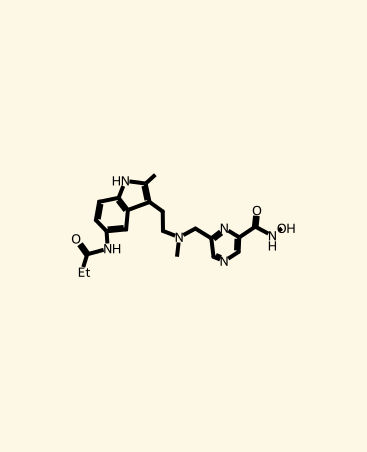 CCC(=O)Nc1ccc2[nH]c(C)c(CCN(C)Cc3cncc(C(=O)NO)n3)c2c1